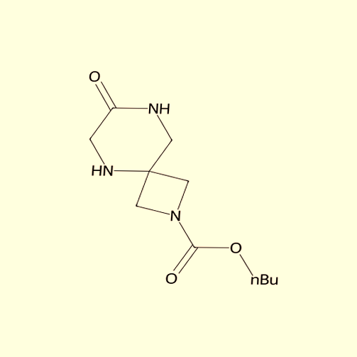 CCCCOC(=O)N1CC2(CNC(=O)CN2)C1